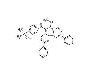 CNc1c(Nc2ccc(C(C)(C)C)cc2)c2ccc(-c3ccncc3)cc2c2cc(-c3ccncc3)ccc12